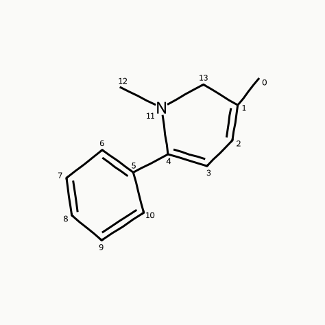 CC1=CC=C(c2ccccc2)N(C)C1